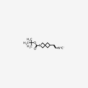 [C-]#[N+]C=CC1CC2(C1)CN(C(=O)OC(C)(C)C)C2